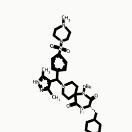 CCCCN1C(=O)[C@H](CC2CCCCC2)NC(=O)C12CCN(C(c1ccc(S(=O)(=O)N3CCN(C)CC3)cc1)c1c(C)n[nH]c1C)CC2